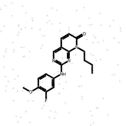 CCCCn1c(=O)ccc2cnc(Nc3ccc(OC)c(F)c3)nc21